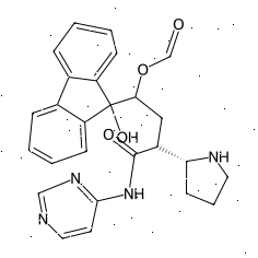 O=COC(CC(C(=O)Nc1ccncn1)[C@H]1CCCN1)C1(O)c2ccccc2-c2ccccc21